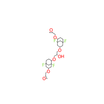 OC(COC1CC2(F)CCC(OCC3CO3)C(F)(C1)C2)COC1CCC2(F)CC(OCC3CO3)CC1(F)C2